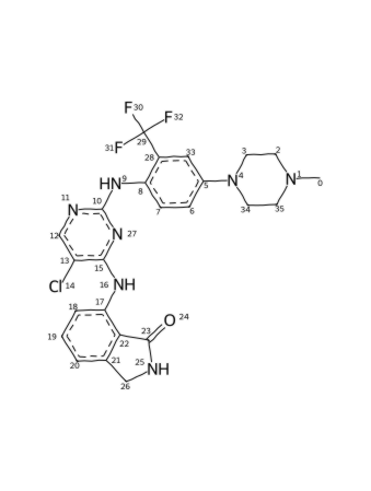 CN1CCN(c2ccc(Nc3ncc(Cl)c(Nc4cccc5c4C(=O)NC5)n3)c(C(F)(F)F)c2)CC1